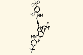 COc1cc(S(C)(=O)=O)ccc1NCC#Cc1cc2c(N[C@H]3CCN(C(C)(C)C)C[C@H]3F)cccc2n1CC(F)(F)F